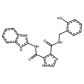 O=C(NCc1ccccc1O)c1nc[nH]c1C(=O)Nc1nc2ccccc2[nH]1